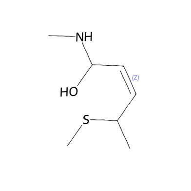 CNC(O)/C=C\C(C)SC